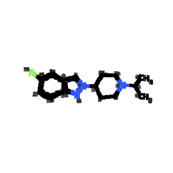 CC(C)N1CCC(n2cc3cc(F)ccc3n2)CC1